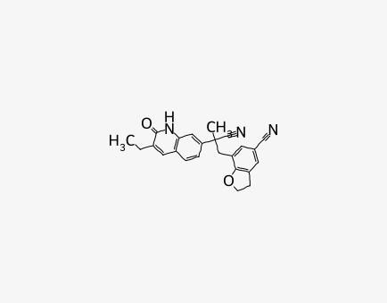 CCc1cc2ccc(C(C)(C#N)Cc3cc(C#N)cc4c3OCC4)cc2[nH]c1=O